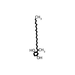 CCCCCCCCCCCCCCCCCCC(C)c1cc(O)ccc1O